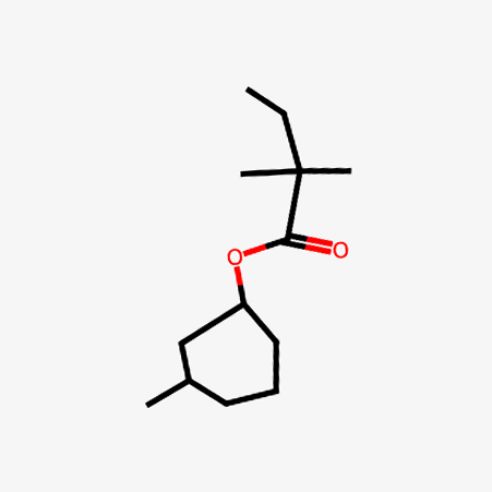 CCC(C)(C)C(=O)OC1CCCC(C)C1